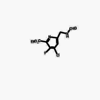 CCOC(=O)c1nc(CNC=O)cc(Cl)c1F